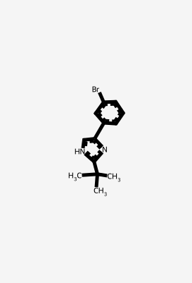 CC(C)(C)c1nc(-c2cccc(Br)c2)c[nH]1